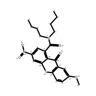 CCCCN(CCCC)C(=O)c1cc([N+](=O)[O-])cc2sc3ccc(OC)cc3c(=O)c12